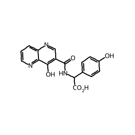 O=C(NC(C(=O)O)c1ccc(O)cc1)c1cnc2cccnc2c1O